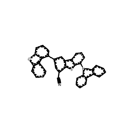 N#Cc1cc(-c2cccc3oc4ccccc4c23)cc2c1sc1c(-n3c4ccccc4c4ccccc43)cccc12